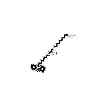 CCCCCCCC/C=C\CCCCCCCCOCC(O)COCCCCCCCC(C)(C)[Si](O)(c1ccccc1)c1ccccc1